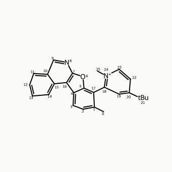 Cc1ccc2c(oc3ncc4ccccc4c32)c1-c1cc(C(C)(C)C)cc[n+]1C